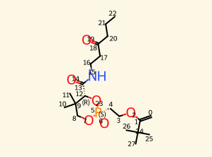 C=C(OCC[P@]1(=O)OCC(C)(C)[C@H](C(=O)NCCC(=O)CCC)O1)C(C)(C)C